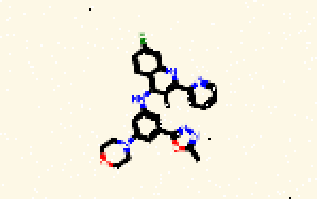 Cc1nnc(-c2cc(Nc3c(C)c(-c4ccccn4)nc4cc(F)ccc34)cc(N3CCOCC3)c2)o1